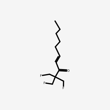 CCCCCC=CC(=O)C(CF)(CF)CF